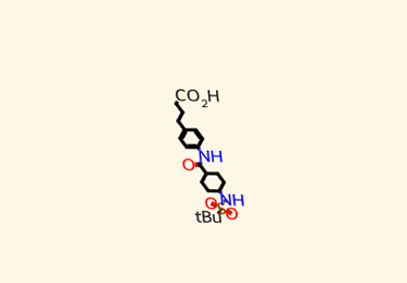 CC(C)(C)S(=O)(=O)NC1CCC(C(=O)Nc2ccc(CCCC(=O)O)cc2)CC1